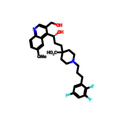 COc1ccc2ncc(CO)c([C@H](O)CCC3(C(=O)O)CCN(CCCc4cc(F)cc(F)c4F)CC3)c2c1